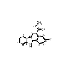 COC(=O)c1cc2c3ccccc3[nH]c2c2ccc(Br)cc12